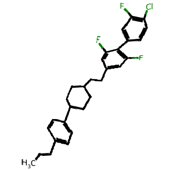 CCCc1ccc(C2CCC(CCc3cc(F)c(-c4ccc(Cl)c(F)c4)c(F)c3)CC2)cc1